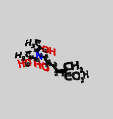 CC(=CCC(O)CN(CC(C)O)CC(C)O)C(=O)O